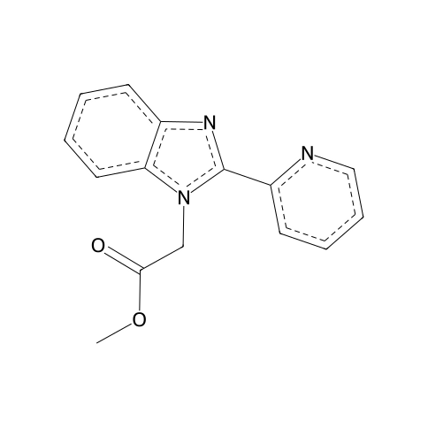 COC(=O)Cn1c(-c2ccccn2)nc2ccccc21